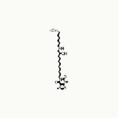 CCCCCCCCCCCCCCCCNCC(O)CCCCCCCCCn1c(=O)c2c(ncn2C)n(C)c1=O